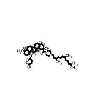 CC(C)=CCCC(C)=CCCC(C)=CCN1CCN(C(=O)C2(C)CC[C@]3(C)CC[C@]4(C)C(=CCC5[C@@]6(C)C(OC(=O)/C=C\C(=O)O)CCC(C)(C)[C@H]6CC[C@]54C)[C@@H]3C2)CC1